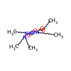 CCCCCCCCCCCCCCN(CC(=O)N1CCN(C(=O)CN(CCCCCCCCC)CCN(CCCCCCCCC)CCCCCCCCC)CC1)CC1CC1COC(=O)CCCCCCCC